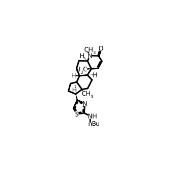 CCCCNc1nc([C@H]2CC[C@H]3[C@@H]4CC[C@H]5N(C)C(=O)C=C[C@]5(C)[C@H]4CC[C@]23C)cs1